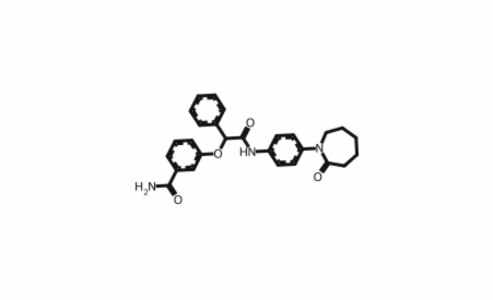 NC(=O)c1cccc(OC(C(=O)Nc2ccc(N3CCCCCC3=O)cc2)c2ccccc2)c1